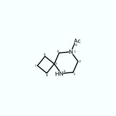 CC(=O)N1CCNC2(CCC2)C1